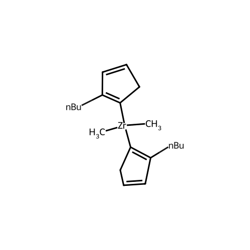 CCCCC1=[C]([Zr]([CH3])([CH3])[C]2=C(CCCC)C=CC2)CC=C1